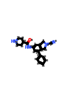 N#CN1Cc2cc(NC(=O)C3CCNCC3)cc(-c3ccccc3)c2C1